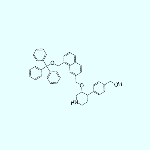 OCc1ccc(C2CCNCC2OCc2ccc3cccc(COC(c4ccccc4)(c4ccccc4)c4ccccc4)c3c2)cc1